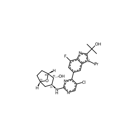 CC(C)n1c(C(C)(C)O)nc2c(F)cc(-c3nc(N[C@H]4C[C@@H]5CC[C@@H](O5)[C@@H]4O)ncc3Cl)cc21